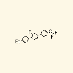 CCc1ccc(-c2ccc(-c3ccc(OC(F)F)cc3)cc2F)cc1